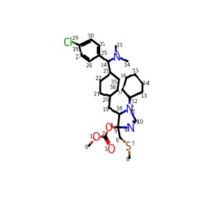 COC(=O)OC1(CSC)N=CN(C2CCCCC2)C1CC1CCC(C(c2ccc(Cl)cc2)N(C)C)CC1